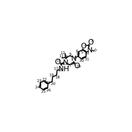 Cn1c(=O)oc2cc(N3CC(C)(C)N(C(=O)NCCCCc4ccccc4)CC3=O)ccc21